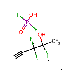 C#CC(F)(F)C(O)(F)C(F)(F)F.O=P(O)(F)F